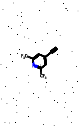 C#Cc1cc(C(F)(F)F)nc(C(F)(F)F)c1